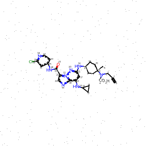 C#CCN(C(=O)O)[C@]1(C)CC[C@@H](Nc2cc(NC3CC3)c3ncc(C(=O)Nc4ccnc(Cl)c4)n3n2)CC1